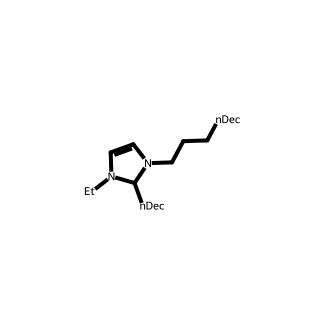 CCCCCCCCCCCCCN1C=CN(CC)C1CCCCCCCCCC